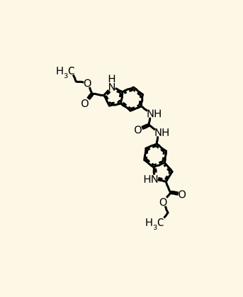 CCOC(=O)c1cc2cc(NC(=O)Nc3ccc4[nH]c(C(=O)OCC)cc4c3)ccc2[nH]1